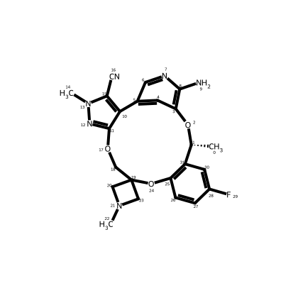 C[C@H]1Oc2cc(cnc2N)-c2c(nn(C)c2C#N)OCC2(CN(C)C2)Oc2ccc(F)cc21